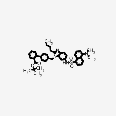 CCCCc1nc2ccc(NS(=O)(=O)c3cccc4c(N(C)C)cccc34)cc2n1Cc1ccc(-c2ccccc2C(=O)OC(C)(C)C)cc1